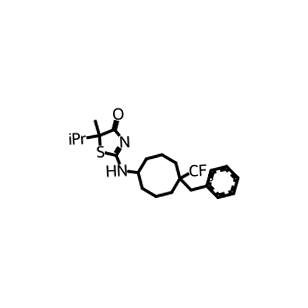 CC(C)C1(C)SC(NC2CCCC(Cc3ccccc3)(C(F)(F)F)CCC2)=NC1=O